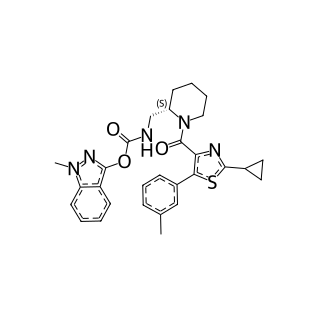 Cc1cccc(-c2sc(C3CC3)nc2C(=O)N2CCCC[C@H]2CNC(=O)Oc2nn(C)c3ccccc23)c1